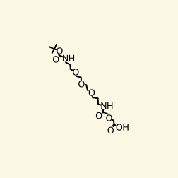 CC(C)(C)OC(=O)NCCCOCCOCCOCCCNC(=O)COCC(=O)O